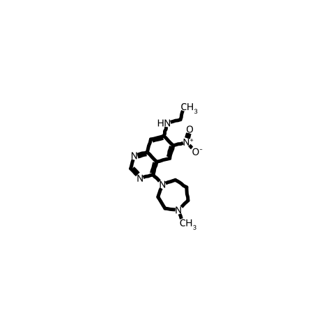 CCNc1cc2ncnc(N3CCCN(C)CC3)c2cc1[N+](=O)[O-]